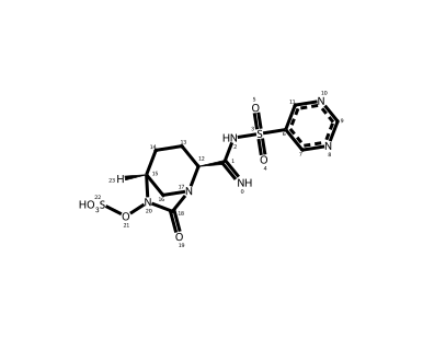 N=C(NS(=O)(=O)c1cncnc1)[C@@H]1CC[C@@H]2CN1C(=O)N2OS(=O)(=O)O